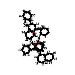 c1ccc(N(c2ccc(-c3cccc4ccccc34)cc2)c2ccccc2-n2c3ccccc3c3ccccc32)c(-c2ccc3sc4ccccc4c3c2)c1